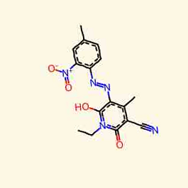 CCn1c(O)c(/N=N/c2ccc(C)cc2[N+](=O)[O-])c(C)c(C#N)c1=O